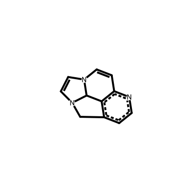 C1=CN2C=CN3Cc4ccnc1c4C23